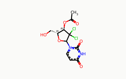 CC(=O)O[C@@H]1[C@@H](CO)OC(n2ccc(=O)[nH]c2=O)C1(Cl)Cl